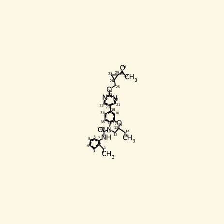 CCc1ccccc1NC(=O)N1CC(CC)Oc2cc(-c3cnc(OCC4CC4C(C)=O)nc3)ccc21